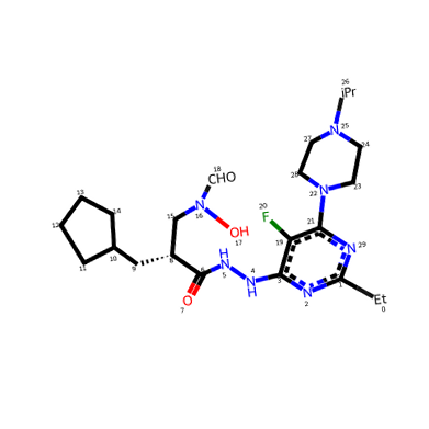 CCc1nc(NNC(=O)[C@H](CC2CCCC2)CN(O)C=O)c(F)c(N2CCN(C(C)C)CC2)n1